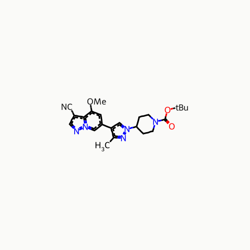 COc1cc(-c2cn(C3CCN(C(=O)OC(C)(C)C)CC3)nc2C)cn2ncc(C#N)c12